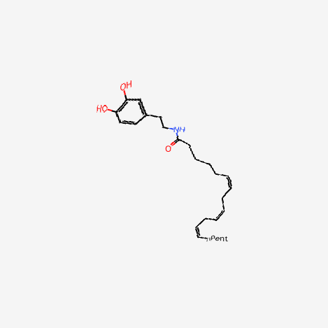 CCCCC/C=C\C/C=C\C/C=C\CCCCC(=O)NCCc1ccc(O)c(O)c1